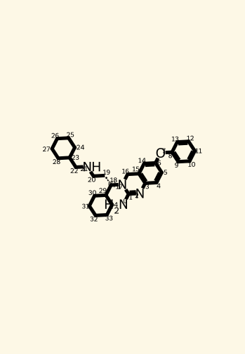 NC1=Nc2ccc(Oc3ccccc3)cc2CN1[C@@H](CCNCC1CCCCC1)C1CCCCC1